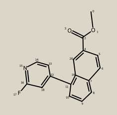 COC(=O)c1ccc2cccc(-c3ccnc(F)c3)c2c1